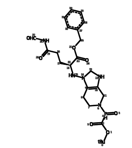 CC(C)(C)OC(=O)[PH](=O)N1CCC2=C(C1)NCN2N[C@@H](CCC(=O)NC=O)C(=O)OCc1ccccc1